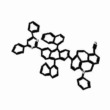 N#Cc1ccc2c3c1ccc1c(-c4ccc5c(-c6cccc7ccccc67)c6cc(-c7nc(-c8ccccc8)cc(-c8ccccc8)n7)ccc6c(-c6cccc7ccccc67)c5c4)ccc(c13)N(c1ccccc1)C2